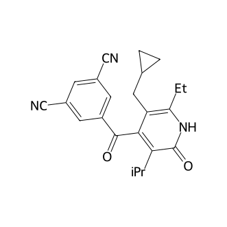 CCc1[nH]c(=O)c(C(C)C)c(C(=O)c2cc(C#N)cc(C#N)c2)c1CC1CC1